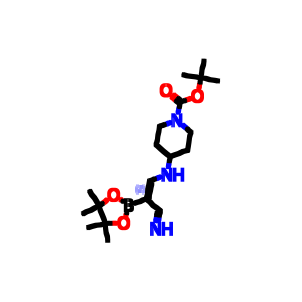 CC(C)(C)OC(=O)N1CCC(N/C=C(\C=N)B2OC(C)(C)C(C)(C)O2)CC1